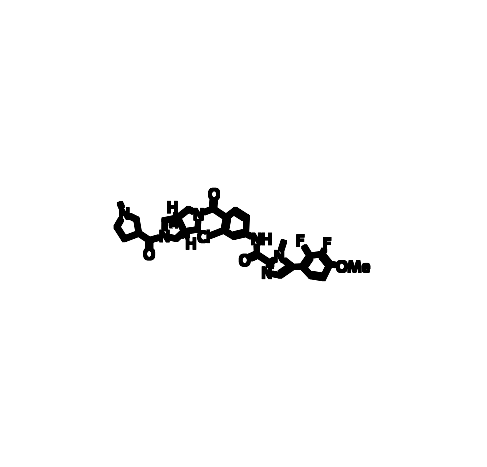 COc1ccc(-c2cnc(C(=O)Nc3ccc(C(=O)N4C[C@@H]5CN(C(=O)C6CCN(C)C6)C[C@@H]5C4)c(Cl)c3)n2C)c(F)c1F